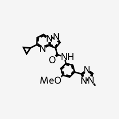 COc1cc(NC(=O)c2cnn3ccc(C4CC4)nc23)cc(-c2ncn(C)n2)c1